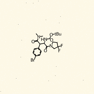 CN(C)C(=O)C(c1ccc(Br)cc1)C(NC(=O)OC(C)(C)C)C(=O)N1CCC(F)(F)C1